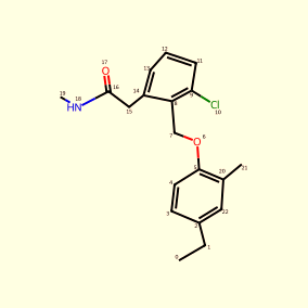 CCc1ccc(OCc2c(Cl)cccc2CC(=O)NC)c(C)c1